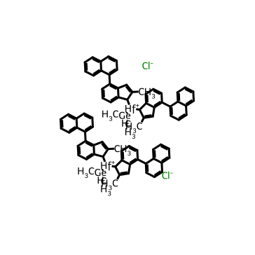 CC1=Cc2c(-c3cccc4ccccc34)cccc2[CH]1[Hf+]([CH]1C(C)=Cc2c(-c3cccc4ccccc34)cccc21)[GeH]([CH3])[CH3].CC1=Cc2c(-c3cccc4ccccc34)cccc2[CH]1[Hf+]([CH]1C(C)=Cc2c(-c3cccc4ccccc34)cccc21)[GeH]([CH3])[CH3].[Cl-].[Cl-]